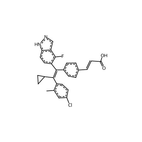 Cc1cc(Cl)ccc1/C(=C(\c1ccc(/C=C/C(=O)O)cc1)c1ccc2[nH]ncc2c1F)C1CC1